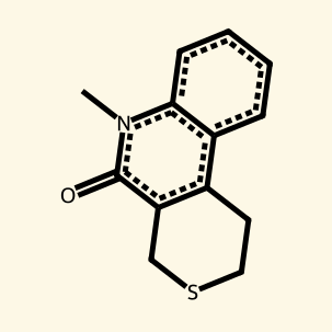 Cn1c(=O)c2c(c3ccccc31)CCSC2